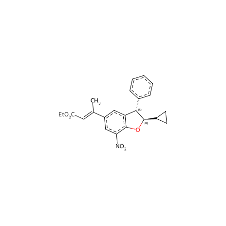 CCOC(=O)C=C(C)c1cc2c(c([N+](=O)[O-])c1)O[C@H](C1CC1)[C@H]2c1ccccc1